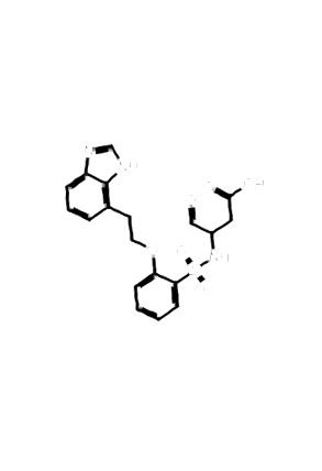 O=CC(CC(=O)O)NS(=O)(=O)c1ccccc1OCCc1cccc2nc[nH]c12